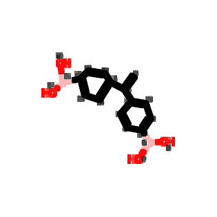 C=C(c1ccc(B(O)O)cc1)c1ccc(B(O)O)cc1